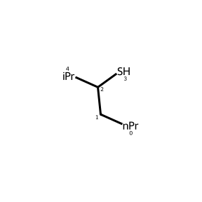 CCCCC(S)C(C)C